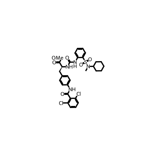 COC(=O)[C@H](Cc1ccc(NC(=O)c2c(Cl)cccc2Cl)cc1)NC(=O)Nc1ccccc1S(=O)(=O)N(C)C1CCCCC1